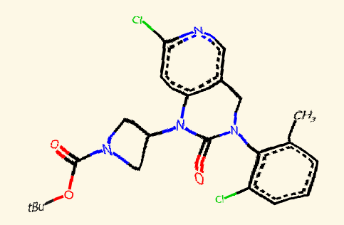 Cc1cccc(Cl)c1N1Cc2cnc(Cl)cc2N(C2CN(C(=O)OC(C)(C)C)C2)C1=O